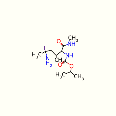 CNC(=O)C(NC(=O)OC(C)C)C(C)CC(C)(N)I